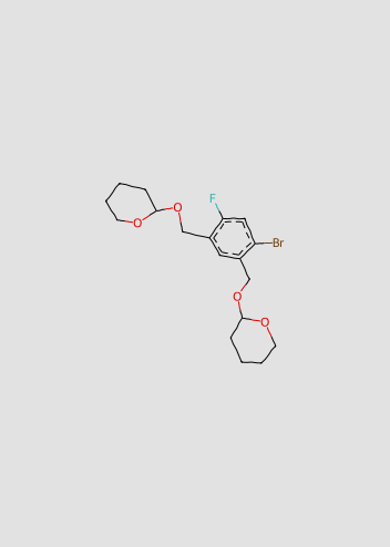 Fc1cc(Br)c(COC2CCCCO2)cc1COC1CCCCO1